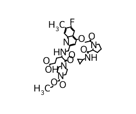 CCOC(=O)N1CCN(C(=O)C(CCC(=O)O)NC(=O)c2cc(OCC(=O)N3CCCC3C(=O)NC3CC3)c3cc(F)c(C)cc3n2)CC1